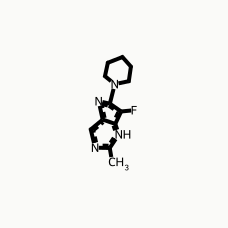 Cc1ncc2nc(N3CCCCC3)c(F)c-2[nH]1